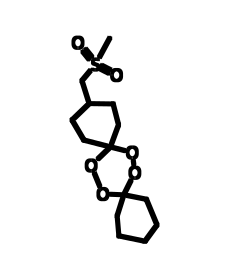 CS(=O)(=O)CC1CCC2(CC1)OOC1(CCCCC1)OO2